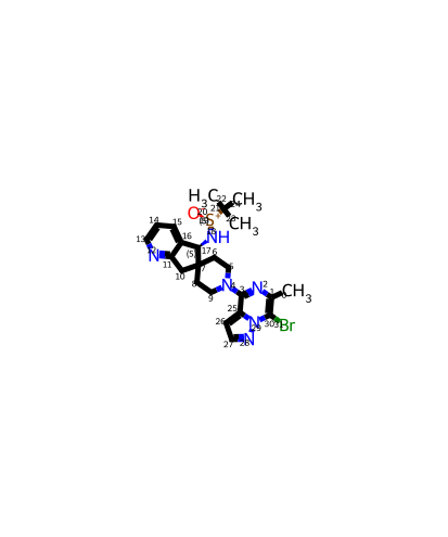 Cc1nc(N2CCC3(CC2)Cc2ncccc2[C@H]3N[S@+]([O-])C(C)(C)C)c2ccnn2c1Br